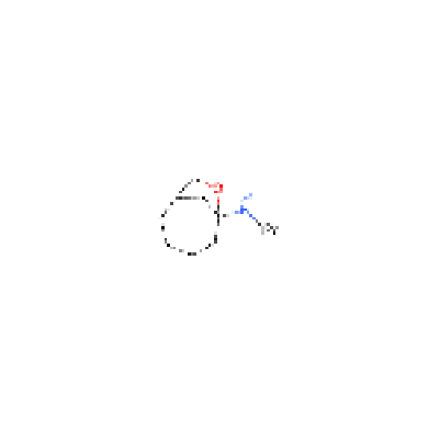 CC(C)NC12CCCCC(CO1)C2